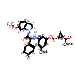 COC(=O)[C@@H]1C[C@H]1COc1cc(NC(C(=O)N2CCc3ccc(OC(F)(F)F)cc32)c2ccc(Cl)cc2)cc(OC)c1